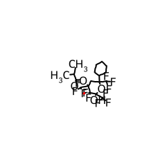 CCC(C)C(=O)OC1(C(F)(F)F)CC(C2CCCCC2)(C(F)(F)F)OC(O)(C(F)(F)F)C1(F)F